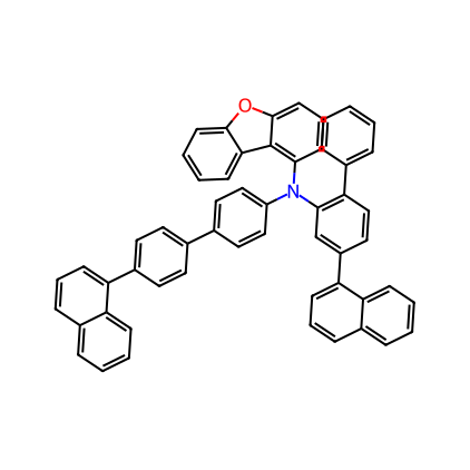 c1ccc(-c2ccc(-c3cccc4ccccc34)cc2N(c2ccc(-c3ccc(-c4cccc5ccccc45)cc3)cc2)c2cccc3oc4ccccc4c23)cc1